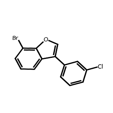 Clc1cccc(-c2coc3c(Br)cccc23)c1